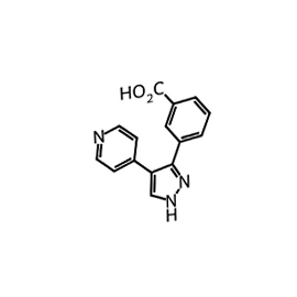 O=C(O)c1cccc(-c2n[nH]cc2-c2ccncc2)c1